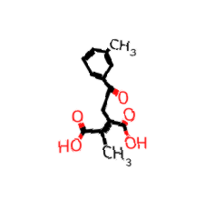 CC(C(=O)O)=C(CC(=O)c1cccc(C)c1)C(=O)O